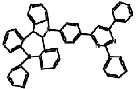 c1ccc(-c2cc(-c3ccc(N4c5ccccc5C5c6ccccc6N(c6ccccc6)c6ccccc6C54)cc3)nc(-c3ccccc3)n2)cc1